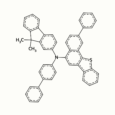 CC1(C)c2ccccc2-c2ccc(N(c3ccc(-c4ccccc4)cc3)c3cc4c5ccccc5sc4c4cc(-c5ccccc5)ccc34)cc21